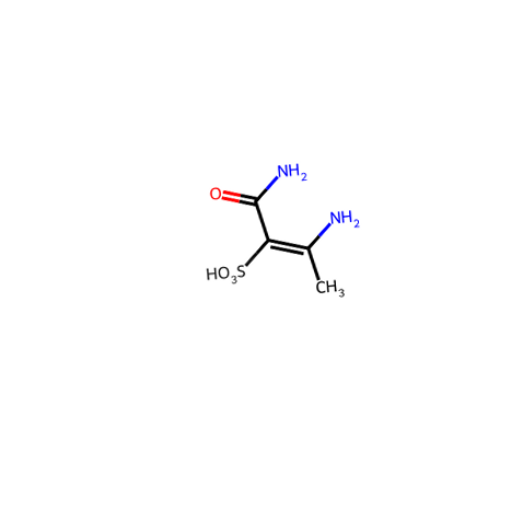 C/C(N)=C(/C(N)=O)S(=O)(=O)O